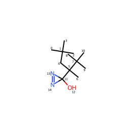 CC(C)(C)CC(C)(C(C)(C)C)C1(O)N=N1